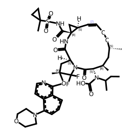 CCC(C)N(C(=O)O)[C@@H]1C(=O)N2[C@@H](C[C@@](C)(Oc3nccc4c(N5CCOCC5)cccc34)C2(F)F)C(=O)N[C@]2(C(=O)NS(=O)(=O)C3(C)CC3)C[C@H]2/C=C\CC[C@H](C)C[C@H]1C